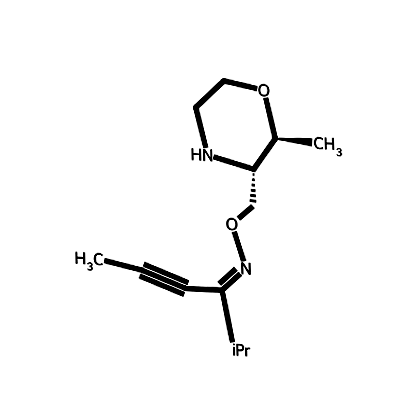 CC#C/C(=N\OC[C@@H]1NCCO[C@H]1C)C(C)C